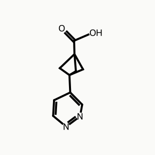 O=C(O)C12CC(c3ccnnc3)(C1)C2